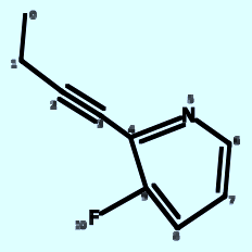 CCC#Cc1ncccc1F